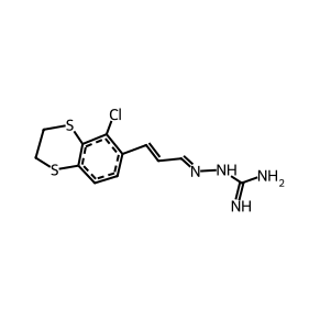 N=C(N)NN=CC=Cc1ccc2c(c1Cl)SCCS2